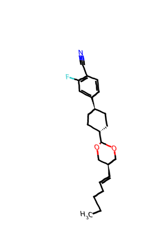 CCCCC=C[C@H]1CO[C@H]([C@H]2CC[C@H](c3ccc(C#N)c(F)c3)CC2)OC1